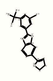 Fc1cc(-c2nc3ccc(C4=CCCO4)cc3o2)cc(C(F)(F)F)c1